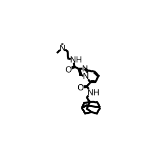 CN(C)CCNC(=O)c1cn2c(C(=O)NCC34CC5CC(CC(C5)C3)C4)cccc2n1